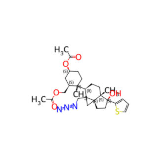 CC(=O)OC[C@H]1C[C@@H](OC(C)=O)CC[C@]1(C)[C@H]1CC[C@@]2(C)[C@]3(CC[C@@]2(O)c2cccs2)CC13CN=[N+]=[N-]